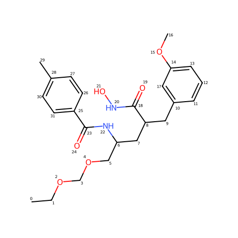 CCOCOCC(CC(Cc1cccc(OC)c1)C(=O)NO)NC(=O)c1ccc(C)cc1